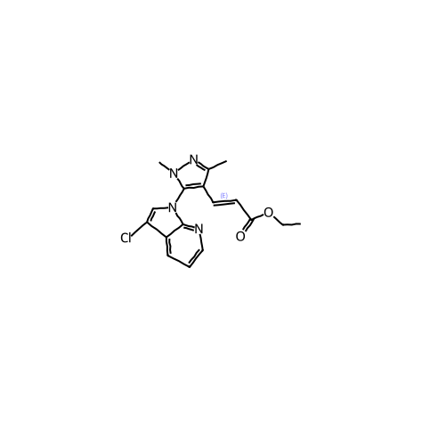 CCOC(=O)/C=C/c1c(C)nn(C)c1-n1cc(Cl)c2cccnc21